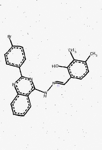 Cc1ccc(/C=N/Nc2nc(-c3ccc(Br)cc3)nc3ccccc23)c(O)c1C